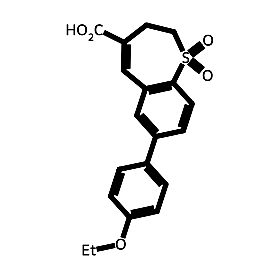 CCOc1ccc(-c2ccc3c(c2)C=C(C(=O)O)CCS3(=O)=O)cc1